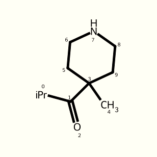 CC(C)C(=O)C1(C)CCNCC1